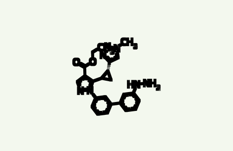 CCOC(=O)c1cnn(-c2cccc(-c3cccc(NN)c3)c2)c1C1C[C@H]1c1cn(C)nn1